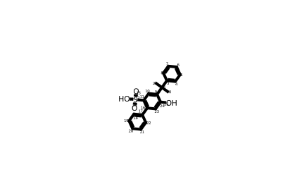 CC(C)(c1ccccc1)c1cc(S(=O)(=O)O)c(-c2ccccc2)cc1O